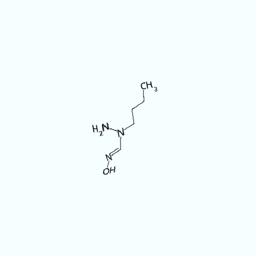 CCCCN(N)C=NO